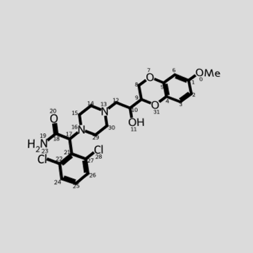 COc1ccc2c(c1)OCC(C(O)CN1CCN(C(C(N)=O)c3c(Cl)cccc3Cl)CC1)O2